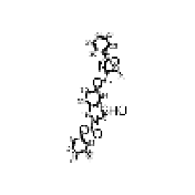 Cc1ccc(OC(=O)N(CC=O)Cc2ccc(OCc3nc(-c4ccccc4)oc3C)cc2)cc1F